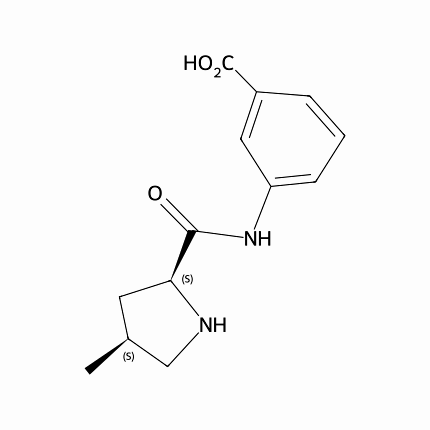 C[C@@H]1CN[C@H](C(=O)Nc2cccc(C(=O)O)c2)C1